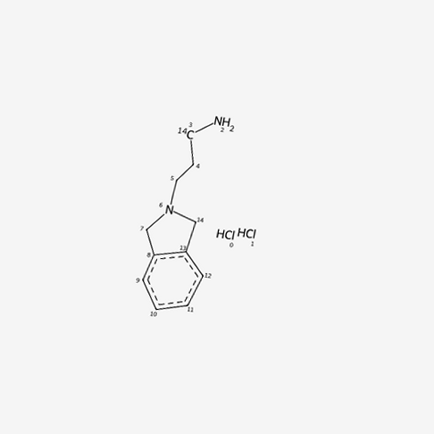 Cl.Cl.N[14CH2]CCN1Cc2ccccc2C1